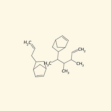 C=CC(C)C(C)C(C)C1CC2C=CC1C2.C=CCC1CC2C=CC1C2